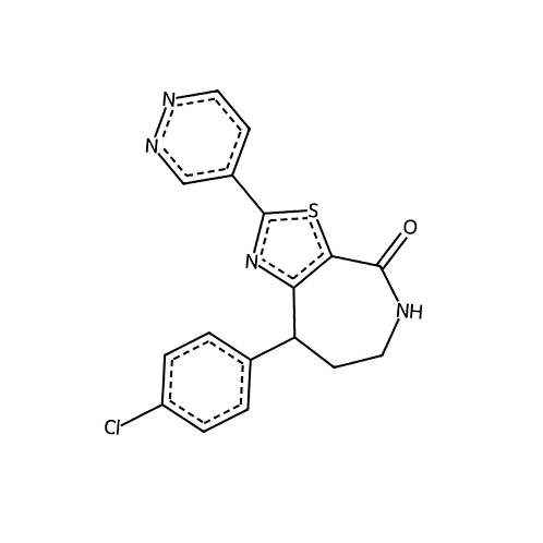 O=C1NCCC(c2ccc(Cl)cc2)c2nc(-c3ccnnc3)sc21